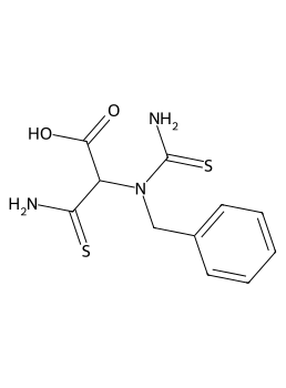 NC(=S)C(C(=O)O)N(Cc1ccccc1)C(N)=S